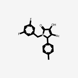 CC(=O)C1=C(O)C(=O)N(Cc2cc(F)cc(F)c2)C1c1ccc(C)cc1